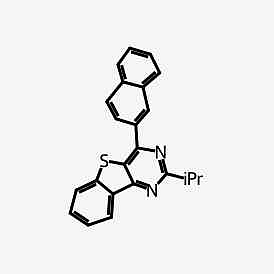 CC(C)c1nc(-c2ccc3ccccc3c2)c2sc3ccccc3c2n1